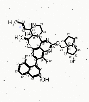 C=C1Oc2nc(-c3cc(O)cc4cccc(F)c34)c(F)c3nc(OC[C@@]45CCCN4C[C@H](F)C5)nc(c23)N2CCNC(/C=C/C)[C@@H]12